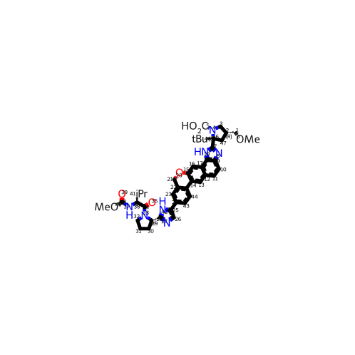 COC[C@H]1CN(C(=O)O)[C@](c2nc3ccc4cc5c(cc4c3[nH]2)OCc2cc(-c3cnc([C@@H]4CCCN4C(=O)[C@@H](NC(=O)OC)C(C)C)[nH]3)ccc2-5)(C(C)(C)C)C1